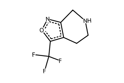 FC(F)(F)c1onc2c1CCNC2